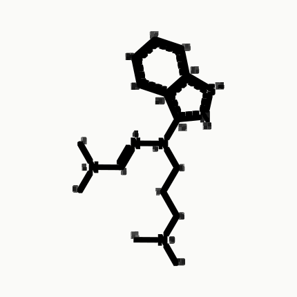 CN(C)/C=N/N(CCCN(C)C)c1nsc2ccccc12